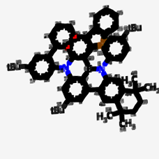 CC(C)(C)c1ccc(N2B3c4c(cc(C(C)(C)C)cc4N(c4ccc(C(C)(C)C)cc4-c4ccccc4)c4ccc5c(sc6ccccc65)c43)-c3cc4c(cc32)C(C)(C)CCC4(C)C)cc1